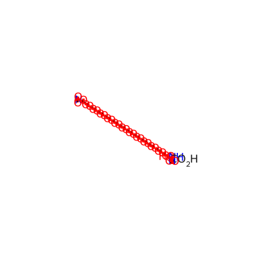 O=C(CCOCCOCCOCCOCCOCCOCCOCCOCCOCCOCCOCCOCCOCCOCCOCCOCCOCCOCCOCCOCCOCCOCCOCCOCC(NO)(C(=O)O)N1C(=O)CCC1=O)CCN1C(=O)C=CC1=O